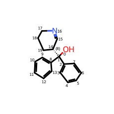 OC(c1ccccc1)(c1ccccc1)[C@H]1C=NCCC1